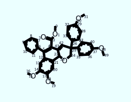 COC(=O)C1=C(c2ccccc2)c2cc(OC)c(OC)cc2C2OCC(c3ccc(OC)cc3)(c3ccc(OC)cc3)C=C12